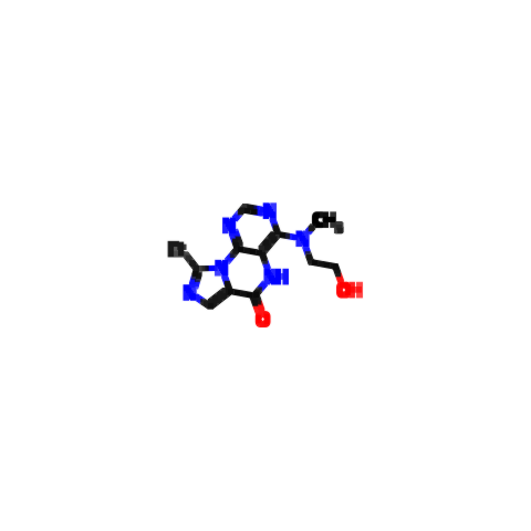 CCc1ncc2c(=O)[nH]c3c(N(C)CCO)ncnc3n12